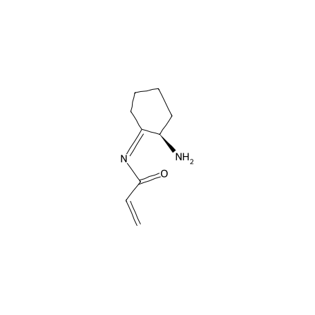 C=CC(=O)/N=C1/CCCC[C@H]1N